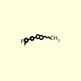 CCCCCC1CCC2CC(c3ccc(-c4ccc(F)c(F)c4)cc3)CCC2C1